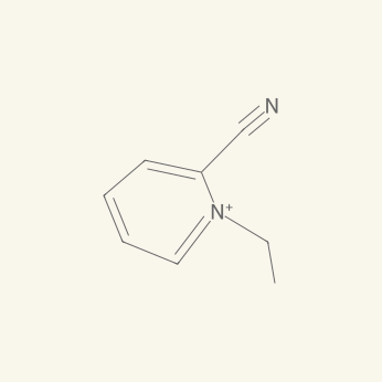 CC[n+]1ccccc1C#N